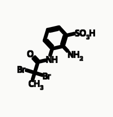 CC(Br)(Br)C(=O)Nc1cccc(S(=O)(=O)O)c1N